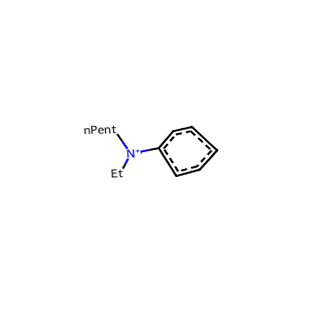 CCCCC[N+](CC)c1ccccc1